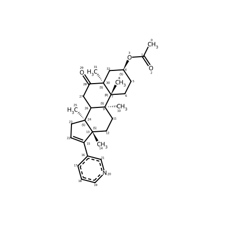 CC(=O)O[C@H]1CC[C@]2(C)[C@@]3(C)CC[C@]4(C)C(c5cccnc5)=CC[C@@]4(C)C3CC(=O)[C@@]2(C)C1